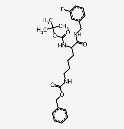 CC(C)(C)OC(=O)NC(CCCCNC(=O)OCc1ccccc1)C(=O)NCc1cccc(F)c1